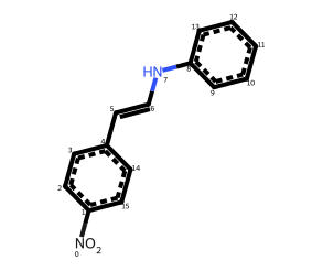 O=[N+]([O-])c1ccc(C=CNc2ccccc2)cc1